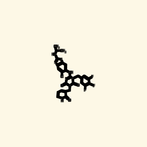 CC(C)Nc1nc2cc(Cl)c(Nc3nc(=O)n(Cc4ccc[nH]c4=O)c(=O)n3Cc3cc(F)c(F)c(F)c3)cc2s1